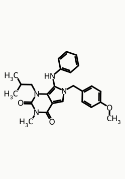 COc1ccc(Cn2cc3c(=O)n(C)c(=O)n(CC(C)C)c3c2Nc2ccccc2)cc1